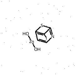 Ic1c2ccnc1S2.[OH][Zn][OH]